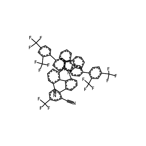 N#Cc1cc(C(F)(F)F)ccc1-c1cccc(-n2c3ccccc3c3cc(-c4ccc(C(F)(F)F)cc4C(F)(F)F)ccc32)c1-c1c(C#N)cccc1-n1c2ccccc2c2cc(-c3ccc(C(F)(F)F)cc3C(F)(F)F)ccc21